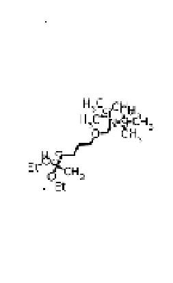 CCOC(C)(OCC)[SiH2]CCCOCN([Si](C)(C)C)[Si](C)(C)C